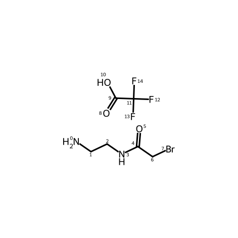 NCCNC(=O)CBr.O=C(O)C(F)(F)F